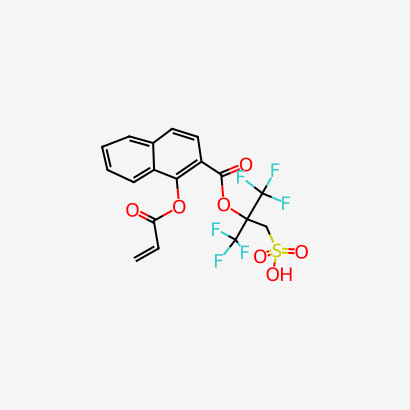 C=CC(=O)Oc1c(C(=O)OC(CS(=O)(=O)O)(C(F)(F)F)C(F)(F)F)ccc2ccccc12